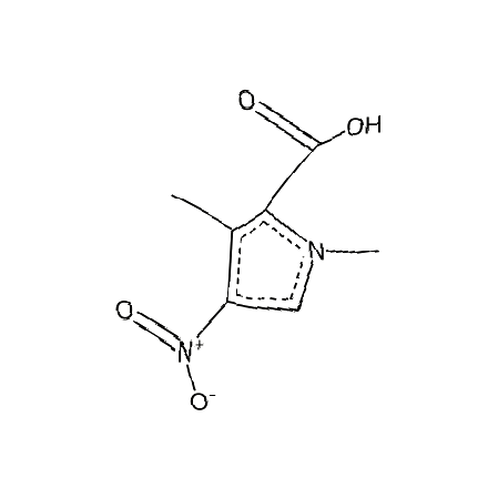 Cc1c([N+](=O)[O-])cn(C)c1C(=O)O